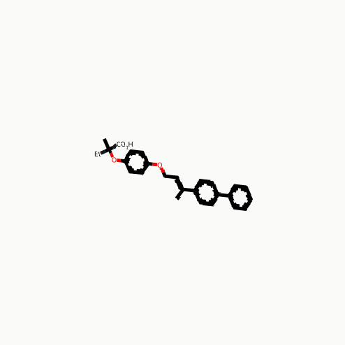 CCC(C)(Oc1ccc(OC/C=C(\C)c2ccc(-c3ccccc3)cc2)cc1)C(=O)O